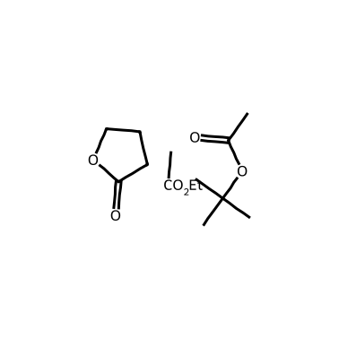 CC(=O)OC(C)(C)C.CCOC(C)=O.O=C1CCCO1